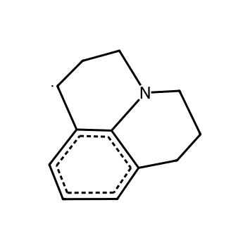 [CH]1CCN2CCCc3cccc1c32